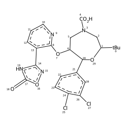 CC(C)(C)C1CN(C(=O)O)CC(Oc2ncccc2-c2noc(=O)[nH]2)C(c2ccc(Cl)c(Cl)c2)O1